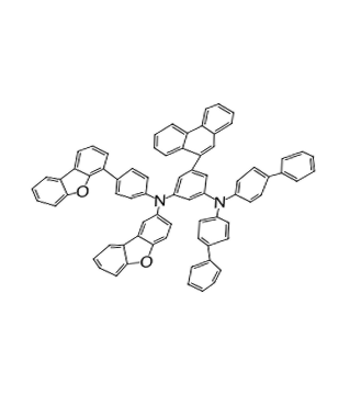 c1ccc(-c2ccc(N(c3ccc(-c4ccccc4)cc3)c3cc(-c4cc5ccccc5c5ccccc45)cc(N(c4ccc(-c5cccc6c5oc5ccccc56)cc4)c4ccc5oc6ccccc6c5c4)c3)cc2)cc1